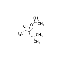 CC(C)CC(COC(C)C)C(C)C